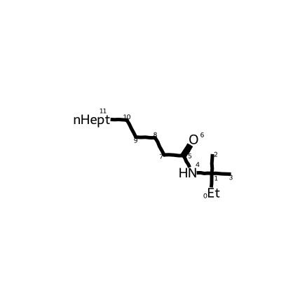 [CH2]CC(C)(C)NC(=O)CCCCCCCCCCC